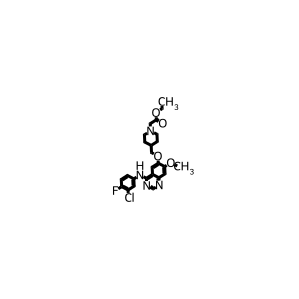 CCOC(=O)CN1CCC(COc2cc3c(Nc4ccc(F)c(Cl)c4)ncnc3cc2OC)CC1